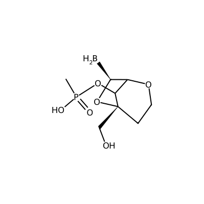 B[C@@H]1O[C@@]2(CO)CCOC1C2OP(C)(=O)O